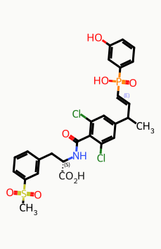 CC(/C=C/P(=O)(O)c1cccc(O)c1)c1cc(Cl)c(C(=O)N[C@@H](Cc2cccc(S(C)(=O)=O)c2)C(=O)O)c(Cl)c1